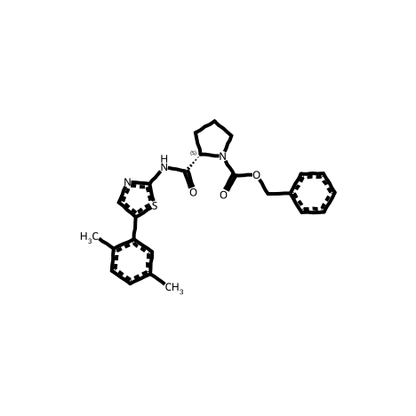 Cc1ccc(C)c(-c2cnc(NC(=O)[C@@H]3CCCN3C(=O)OCc3ccccc3)s2)c1